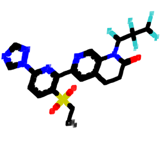 CCS(=O)(=O)c1ccc(-n2cncn2)nc1-c1cc2c(cn1)N(C(F)C(F)(F)C(F)F)C(=O)CC2